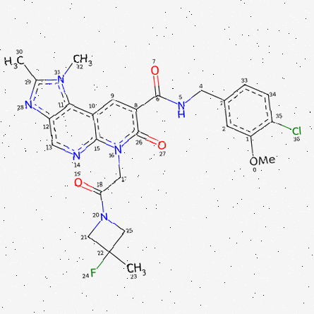 COc1cc(CNC(=O)c2cc3c4c(cnc3n(CC(=O)N3CC(C)(F)C3)c2=O)nc(C)n4C)ccc1Cl